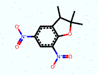 CC1c2cc([N+](=O)[O-])cc([N+](=O)[O-])c2OC1(C)C